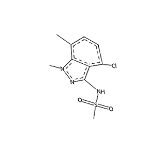 Cc1ccc(Cl)c2c(NS(C)(=O)=O)nn(C)c12